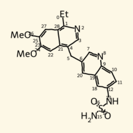 CCc1ncc(Cc2cnc3ccc(NS(N)(=O)=O)cc3c2)c2cc(OC)c(OC)cc12